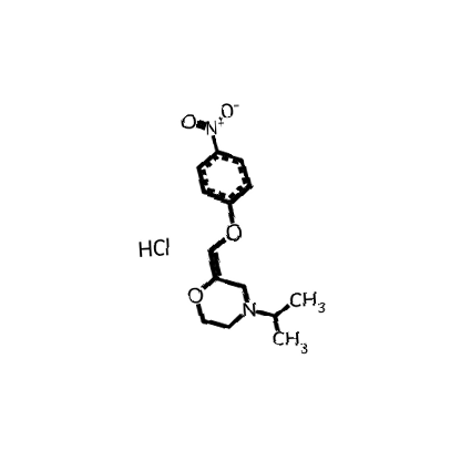 CC(C)N1CCOC(=COc2ccc([N+](=O)[O-])cc2)C1.Cl